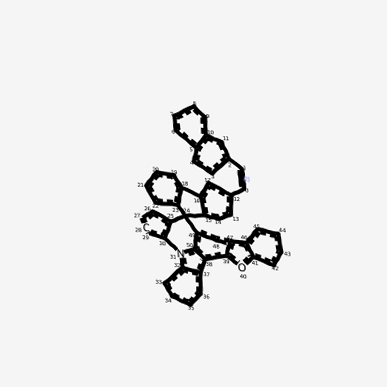 C(=C/c1ccc2ccccc2c1)/c1ccc2c(c1)-c1ccccc1C21c2ccccc2-n2c3ccccc3c3c4oc5ccccc5c4cc1c32